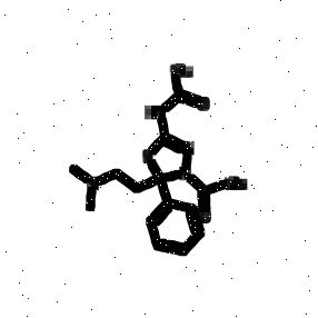 CN(C)CCC1(c2ccccc2)SC(NC(=O)C(C)(C)C)=NN1C(=O)C(C)(C)C